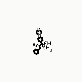 CC(=O)C(Cc1ccccc1)C(c1ccc(N2CCOCC2)cc1)N(C)C